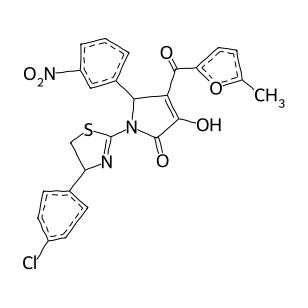 Cc1ccc(C(=O)C2=C(O)C(=O)N(C3=NC(c4ccc(Cl)cc4)CS3)C2c2cccc([N+](=O)[O-])c2)o1